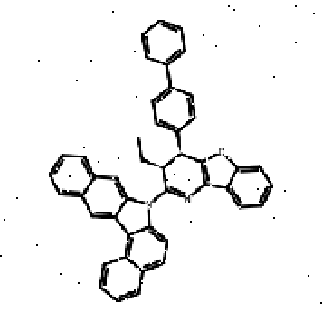 CC[C@@H]1C(n2c3cc4ccccc4cc3c3c4ccccc4ccc32)=Nc2c(oc3ccccc23)[C@@H]1c1ccc(-c2ccccc2)cc1